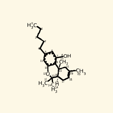 CCCCCc1cc(O)c2c(c1)OC(C)(C)[C@@H]1CC=C(C)C[C@@]21C